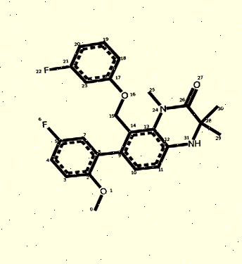 COc1ccc(F)cc1-c1ccc2c(c1COc1cccc(F)c1)N(C)C(=O)C(C)(C)N2